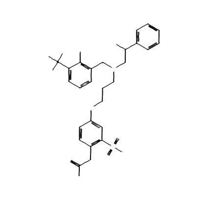 CC(CN(CCCOc1ccc(CC(=O)O)c(S(C)(=O)=O)c1)Cc1cccc(C(F)(F)F)c1Cl)c1ccccc1